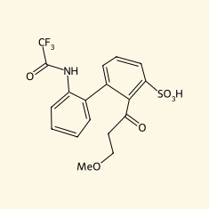 COCCC(=O)c1c(-c2ccccc2NC(=O)C(F)(F)F)cccc1S(=O)(=O)O